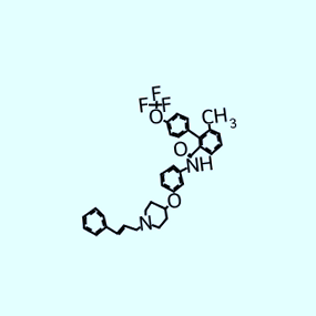 Cc1cccc(C(=O)Nc2cccc(OC3CCN(CC=Cc4ccccc4)CC3)c2)c1-c1ccc(OC(F)(F)F)cc1